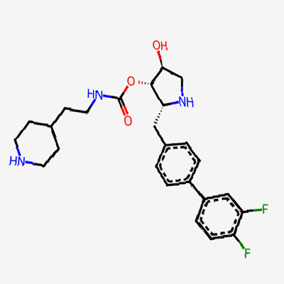 O=C(NCCC1CCNCC1)O[C@@H]1[C@@H](O)CN[C@@H]1Cc1ccc(-c2ccc(F)c(F)c2)cc1